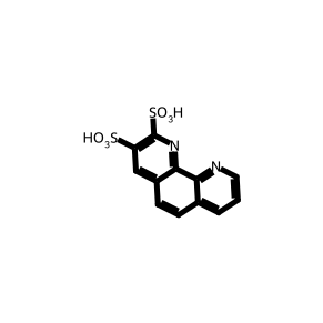 O=S(=O)(O)c1cc2ccc3cccnc3c2nc1S(=O)(=O)O